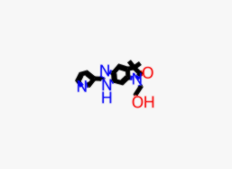 CC1(C)C(=O)N(CCO)c2cc3[nH]c(-c4cccnc4)nc3cc21